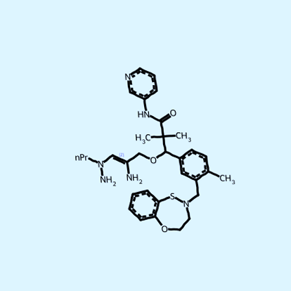 CCCN(N)/C=C(\N)COC(c1ccc(C)c(CN2CCOc3ccccc3S2)c1)C(C)(C)C(=O)Nc1cccnc1